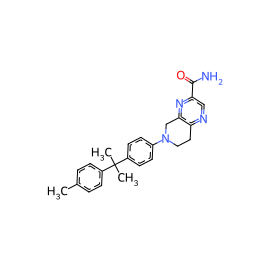 Cc1ccc(C(C)(C)c2ccc(N3CCc4ncc(C(N)=O)nc4C3)cc2)cc1